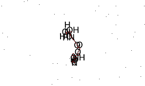 O=C(NC(c1ccccc1)c1cccc(OCc2ccc(C(=O)OCCCCCCCNC[C@@H](O)c3ccc(O)c4[nH]c(=O)ccc34)cc2)c1)O[C@H]1CN2CCC1CC2